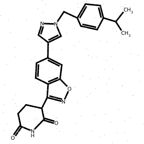 CC(C)c1ccc(Cn2cc(-c3ccc4c(C5CCC(=O)NC5=O)noc4c3)cn2)cc1